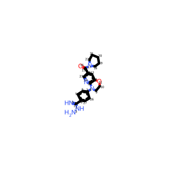 N=C(NN)c1ccc(N2CCOc3cc(C(=O)N4CCCCC4)cnc32)cc1